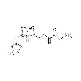 NCC(=O)NCCC(=O)N[C@@H](Cc1c[nH]cn1)C(=O)O